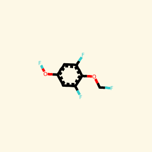 FCOc1c(F)cc(OF)cc1F